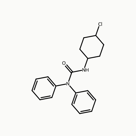 O=C(NC1CCC(Cl)CC1)N(c1ccccc1)c1ccccc1